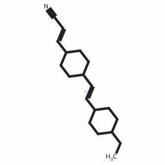 CCC1CCC(/C=C/C2CCC(C=CC#N)CC2)CC1